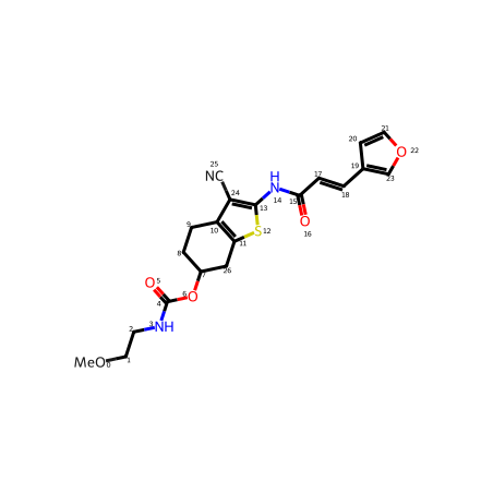 COCCNC(=O)OC1CCc2c(sc(NC(=O)C=Cc3ccoc3)c2C#N)C1